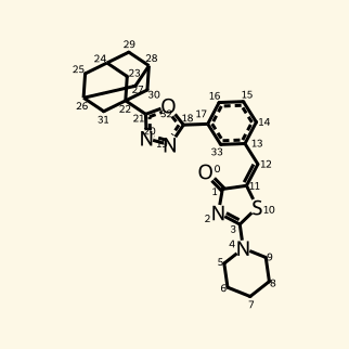 O=C1N=C(N2CCCCC2)SC1=Cc1cccc(-c2nnc(C34CC5CC(CC(C5)C3)C4)o2)c1